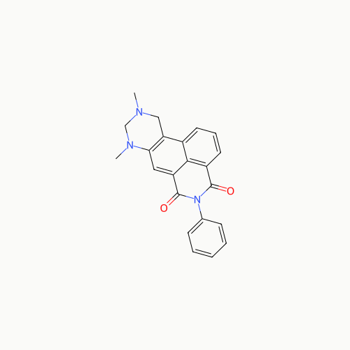 CN1Cc2c(cc3c4c(cccc24)C(=O)N(c2ccccc2)C3=O)N(C)C1